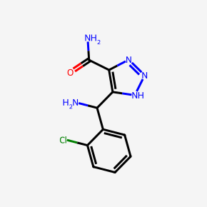 NC(=O)c1nn[nH]c1C(N)c1ccccc1Cl